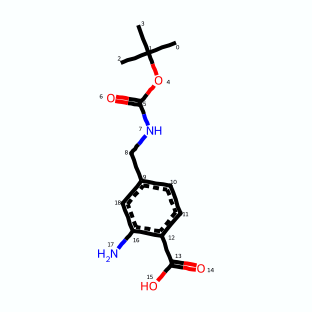 CC(C)(C)OC(=O)NCc1ccc(C(=O)O)c(N)c1